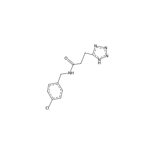 O=C(C[CH]c1nnn[nH]1)NCc1ccc(Cl)cc1